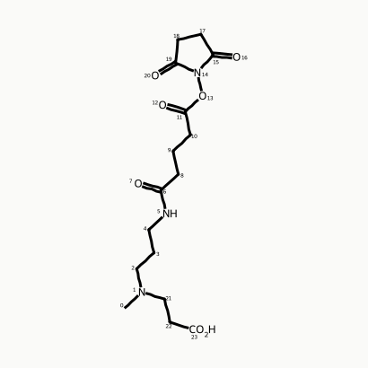 CN(CCCNC(=O)CCCC(=O)ON1C(=O)CCC1=O)CCC(=O)O